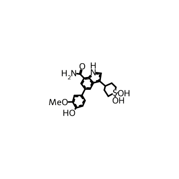 COc1cc(-c2cc(C(N)=O)c3[nH]cc(C4CCS(O)(O)CC4)c3c2)ccc1O